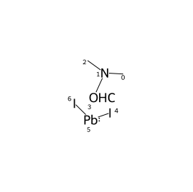 CN(C)C=O.[I][Pb][I]